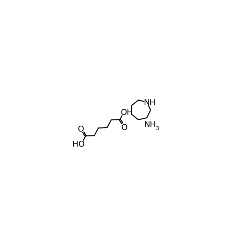 C1CCCNCC1.N.O=C(O)CCCCC(=O)O